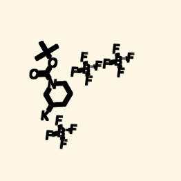 CC(C)(C)OC(=O)N1CCC[CH]([K])C1.F[B-](F)(F)F.F[B-](F)(F)F.F[B-](F)(F)F